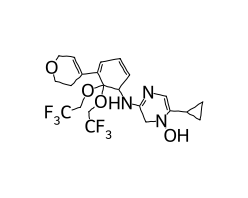 ON1CC(NC2C=CC=C(C3=CCOCC3)C2(OCC(F)(F)F)OCC(F)(F)F)=NC=C1C1CC1